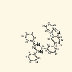 c1ccc(-c2nc(-c3ccccc3)nc(-c3cccc(-c4ccc5oc6ccccc6c5c4)c3)n2)cc1